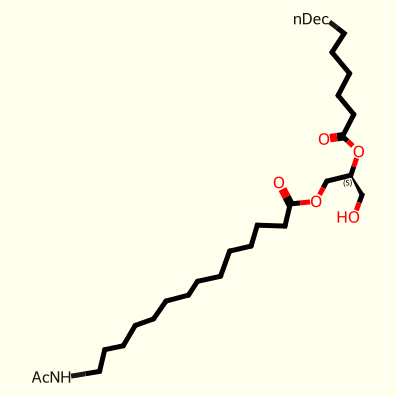 CCCCCCCCCCCCCCCC(=O)O[C@@H](CO)COC(=O)CCCCCCCCCCCCCNC(C)=O